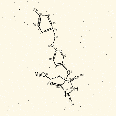 COCCC1(Oc2ccc(OCc3ccc(F)cc3)cc2)C(=O)NC(=O)NC1=O